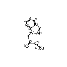 CC(C)(C)OC(=O)Cn1ncc2cccnc21